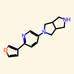 c1cc(-c2ccc(N3CC4CNCC4C3)cn2)co1